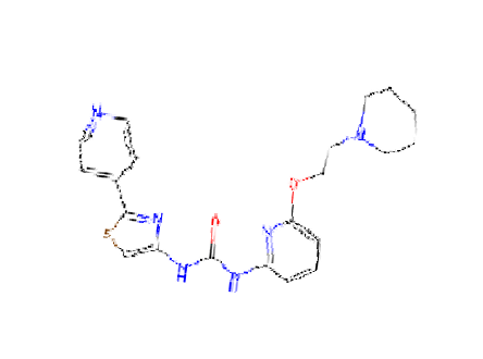 O=C(Nc1cccc(OCCN2CCCCC2)n1)Nc1csc(-c2ccncc2)n1